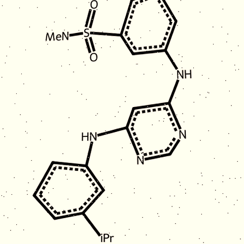 CNS(=O)(=O)c1cccc(Nc2cc(Nc3cccc(C(C)C)c3)ncn2)c1